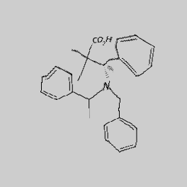 CC(c1ccccc1)N(Cc1ccccc1)[C@@H](c1ccccc1)C(C)(C)C(=O)O